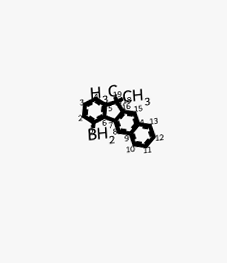 Bc1cccc2c1-c1cc3ccccc3cc1C2(C)C